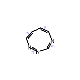 C1=C\N=C/N=N\C=C/1